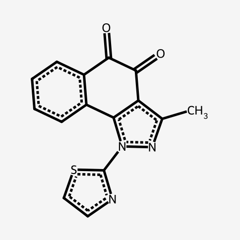 Cc1nn(-c2nccs2)c2c1C(=O)C(=O)c1ccccc1-2